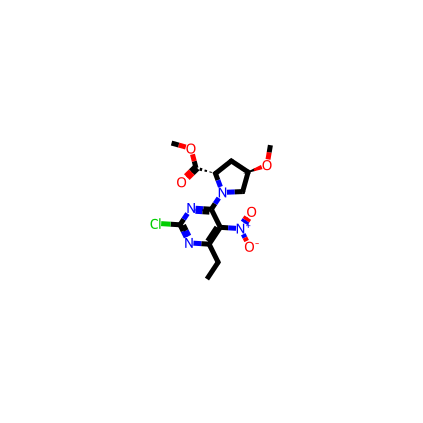 CCc1nc(Cl)nc(N2C[C@H](OC)C[C@H]2C(=O)OC)c1[N+](=O)[O-]